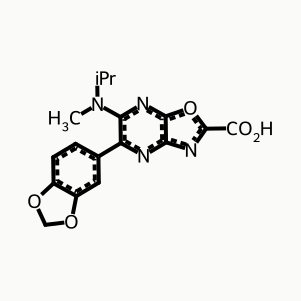 CC(C)N(C)c1nc2oc(C(=O)O)nc2nc1-c1ccc2c(c1)OCO2